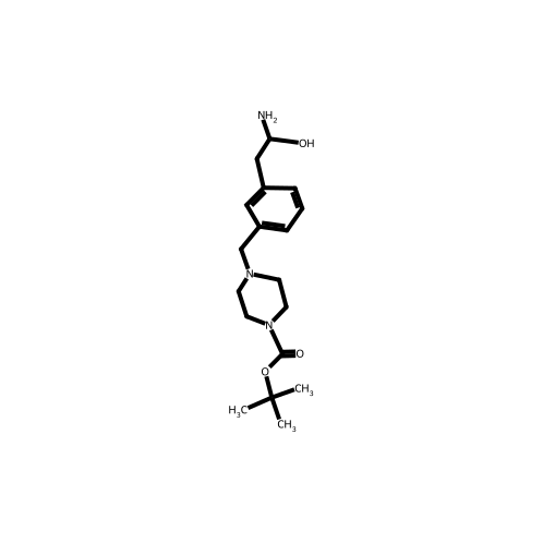 CC(C)(C)OC(=O)N1CCN(Cc2cccc(CC(N)O)c2)CC1